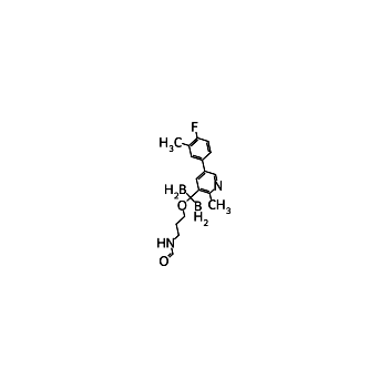 BC(B)(OCCCNC=O)c1cc(-c2ccc(F)c(C)c2)cnc1C